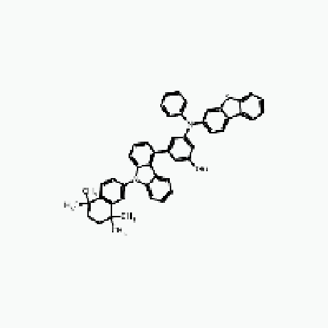 CC(C)(C)c1cc(-c2cccc3c2c2ccccc2n3-c2ccc3c(c2)C(C)(C)CCC3(C)C)cc(N(c2ccccc2)c2ccc3c(c2)sc2ccccc23)c1